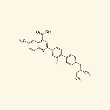 CCC(C)Cc1ccc(-c2ccc(-c3cc(C(=O)O)c4cc(C)ccc4n3)cc2F)cc1